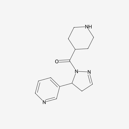 O=C(C1CCNCC1)N1N=CCC1c1cccnc1